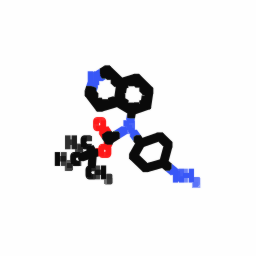 CC(C)(C)OC(=O)N(c1cccc2cnccc12)C1CCC(N)CC1